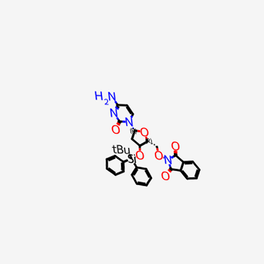 CC(C)(C)[Si](OC1C[C@H](n2ccc(N)nc2=O)O[C@@H]1CON1C(=O)c2ccccc2C1=O)(c1ccccc1)c1ccccc1